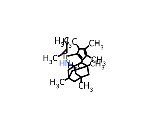 CC1=C(C)C(C)[C]([Ti]2([NH]C34CC5(C)CC(C)(CC(C)(C5)C3)C4)[CH](C)[CH]2C)=C1C